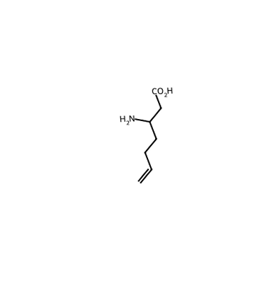 C=CCCC(N)CC(=O)O